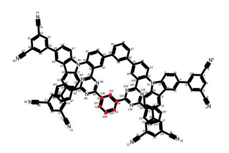 N#Cc1cc(C#N)cc(-c2ccc3c(c2)c2cc(-c4cc(C#N)cc(C#N)c4)ccc2n3-c2ccc(-c3cccc(-c4ccc(-n5c6ccc(-c7cc(C#N)cc(C#N)c7)cc6c6cc(-c7cc(C#N)cc(C#N)c7)ccc65)c(-c5nc(-c6ccccc6)nc(-c6ccccc6)n5)c4)c3)cc2-c2nc(-c3ccccc3)nc(-c3ccccc3)n2)c1